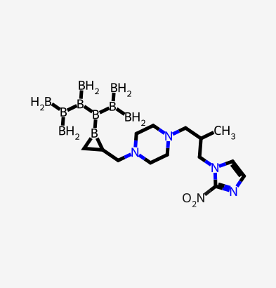 BB(B)B(B)B(B(B)B)B1CC1CN1CCN(CC(C)Cn2ccnc2[N+](=O)[O-])CC1